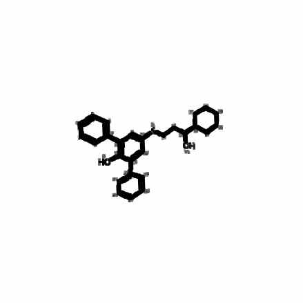 Oc1c(-c2ccccc2)cc(SCCC(O)C2CCCCC2)cc1-c1ccccc1